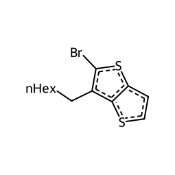 CCCCCCCc1c(Br)sc2ccsc12